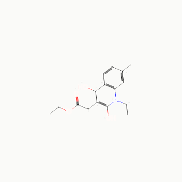 CCOC(=O)CC1=C(O)N(CC)c2cc(C)ccc2C1O